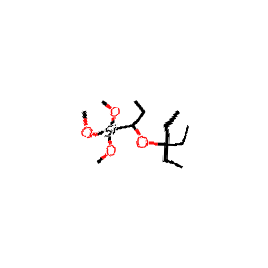 CCC(OC(CC)(CC)CC)[Si](OC)(OC)OC